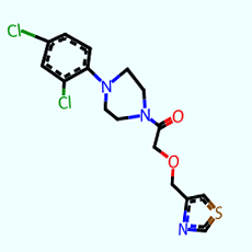 O=C(COCc1cscn1)N1CCN(c2ccc(Cl)cc2Cl)CC1